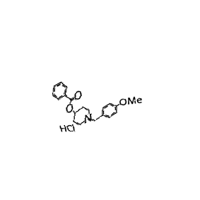 COc1ccc(CN2CCC(OC(=O)c3ccccc3)CC2)cc1.Cl